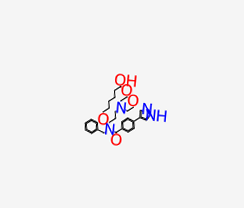 O=C(O)CCCCCOc1ccccc1CN(CCCN1CCOCC1)C(=O)c1ccc(-c2cn[nH]c2)cc1